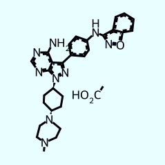 CC(=O)O.CN1CCN([C@H]2CC[C@H](n3nc(-c4ccc(Nc5noc6ccccc56)cc4)c4c(N)ncnc43)CC2)CC1